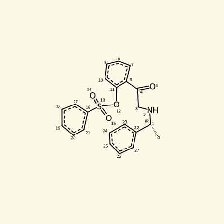 C[C@@H](NCC(=O)c1ccccc1OS(=O)(=O)c1ccccc1)c1ccccc1